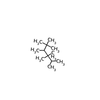 CC(C)C(C)(C)C(C)C(C)(C)C